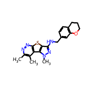 Cc1nnc2sc3c(NCc4ccc5c(c4)OCCC5)nn(C)c3c2c1C